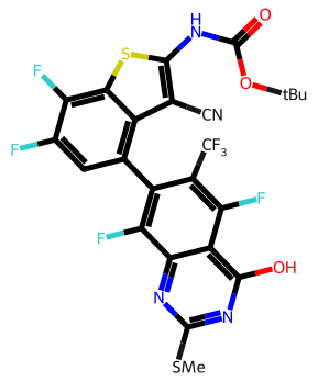 CSc1nc(O)c2c(F)c(C(F)(F)F)c(-c3cc(F)c(F)c4sc(NC(=O)OC(C)(C)C)c(C#N)c34)c(F)c2n1